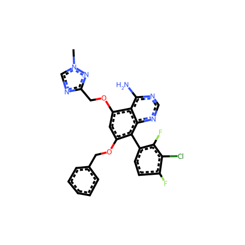 Cn1cnc(COc2cc(OCc3ccccc3)c(-c3ccc(F)c(Cl)c3F)c3ncnc(N)c23)n1